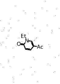 CCn1cc(C(C)=O)ccc1=O